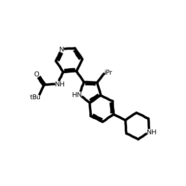 CC(C)c1c(-c2ccncc2NC(=O)C(C)(C)C)[nH]c2ccc(C3CCNCC3)cc12